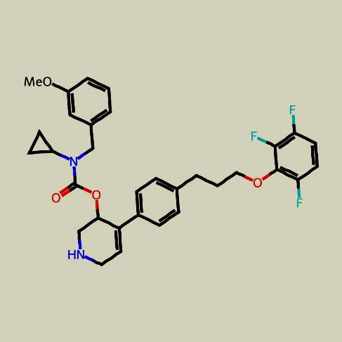 COc1cccc(CN(C(=O)OC2CNCC=C2c2ccc(CCCOc3c(F)ccc(F)c3F)cc2)C2CC2)c1